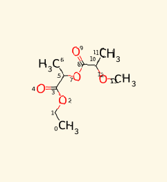 CCOC(=O)C(C)OC(=O)C(C)OC